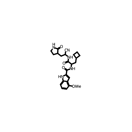 COc1cccc2[nH]c(C(=O)NC(CC3CCC3)C(=O)NC(C#N)CC3CCNC3=O)cc12